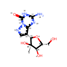 C[C@@]1(O)[C@H](O)[C@@H](CO)O[C@H]1c1cnn2c(=O)[nH]c(N)nc12